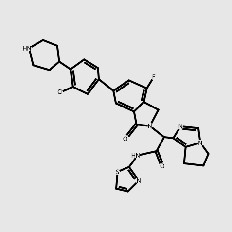 O=C(Nc1nccs1)C(c1ncn2c1CCC2)N1Cc2c(F)cc(-c3ccc(C4CCNCC4)c(Cl)c3)cc2C1=O